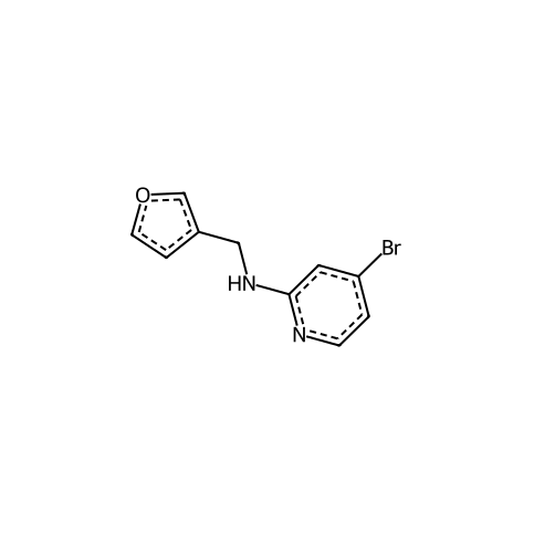 Brc1ccnc(NCc2ccoc2)c1